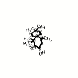 C=C1C[C@H](O)[C@H](Br)C(C)(C)[C@]12C=C[C@@](C)(O)CC2